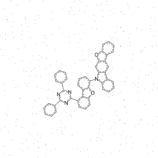 c1ccc(-c2nc(-c3ccccc3)nc(-c3cccc4oc5c(-n6c7ccccc7c7cc8c(cc76)oc6ccccc68)cccc5c34)n2)cc1